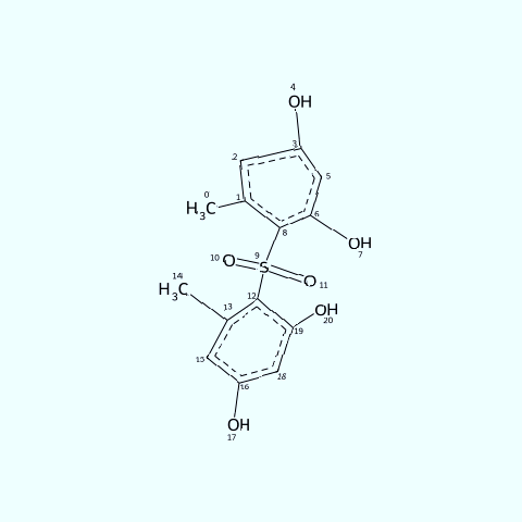 Cc1cc(O)cc(O)c1S(=O)(=O)c1c(C)cc(O)cc1O